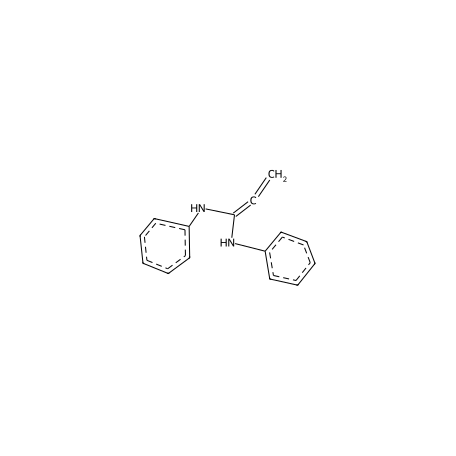 C=C=C(Nc1ccccc1)Nc1ccccc1